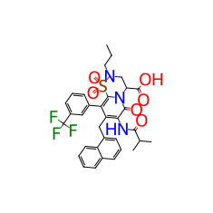 CCCN1CC(C(=O)O)n2c(c(-c3cccc(C(F)(F)F)c3)c(Cc3cccc4ccccc34)c(NC(=O)C(C)C)c2=O)S1(=O)=O